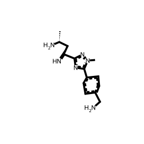 C[C@@H](N)CC(=N)c1nc(-c2ccc(CN)cc2)n(C)n1